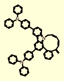 C=C1/C=C\C=C/Cn2c3ccc(-c4ccc(N(c5ccccc5)c5ccccc5)cc4)cc3c3cc(-c4ccc(N(c5ccccc5)c5ccccc5)cc4)cc(c32)-c2ccccc21